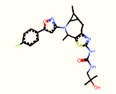 CC1C2Cc3nc(NC(=O)NCC(C)(C)O)sc3C(C)N(c3cc(-c4ccc(F)cc4)on3)C12